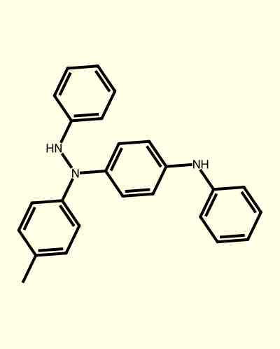 Cc1ccc(N(Nc2ccccc2)c2ccc(Nc3ccccc3)cc2)cc1